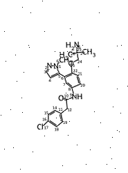 Cn1nccc1-c1cc(NC(=O)Cc2ccc(Cl)cc2)ccc1OCC(C)(C)N